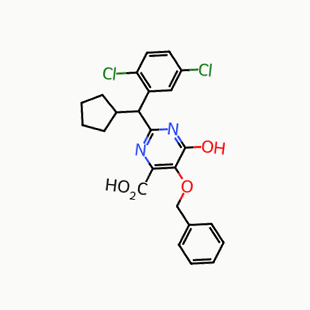 O=C(O)c1nc(C(c2cc(Cl)ccc2Cl)C2CCCC2)nc(O)c1OCc1ccccc1